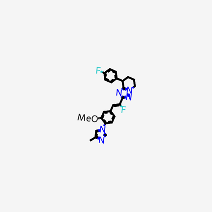 COc1cc(/C=C(\F)c2nc3n(n2)CCCC3c2ccc(F)cc2)ccc1-n1cnc(C)c1